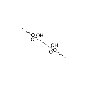 CCCCCCOC(=O)C(O)CCCCCCCC(O)C(=O)OCCCCCC